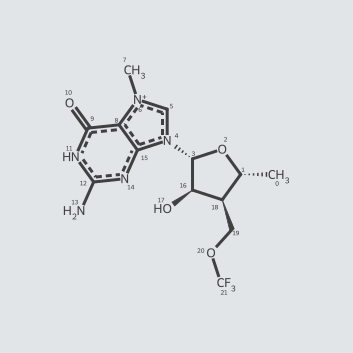 C[C@H]1O[C@@H](n2c[n+](C)c3c(=O)[nH]c(N)nc32)[C@H](O)[C@@H]1COC(F)(F)F